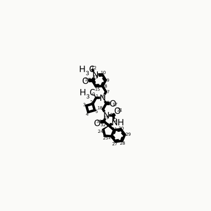 C[C@@H](C1CCC1)N(Cc1ccn(C)c(=O)c1)C(=O)CN1C(=O)N[C@@]2(CCc3ccccc32)C1=O